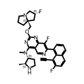 C#Cc1c(F)ccc2cccc(-c3ncc4c(N(C)[C@@H]5CCN[C@H]5C)nc(OC[C@@]56CCCN5C[C@H](F)C6)nc4c3F)c12